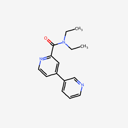 CCN(CC)C(=O)c1cc(-c2cccnc2)ccn1